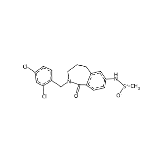 C[S+]([O-])Nc1ccc2c(c1)CCCN(Cc1ccc(Cl)cc1Cl)C2=O